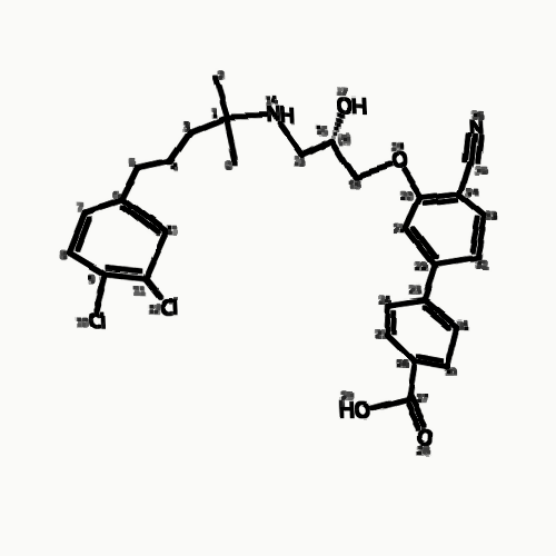 CC(C)(CCCc1ccc(Cl)c(Cl)c1)NC[C@H](O)COc1cc(-c2ccc(C(=O)O)cc2)ccc1C#N